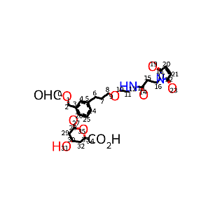 O=COCc1cc(CCCOCCNC(=O)CCN2C(=O)C=CC2=O)ccc1OC1CC(O)CC(C(=O)O)O1